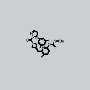 CC(C)(C)NC(=O)Oc1ccc(F)c(C=C2CN(C(=O)N3N=CC[C@H]3c3cc(F)cc(F)c3)C2)n1